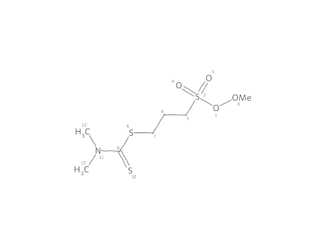 COOS(=O)(=O)CCCSC(=S)N(C)C